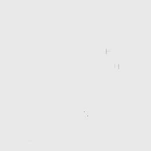 Cc1ccc(-n2c3ccccc3c3cc4c(cc32)-c2ccc(-c3ccccc3)cc2C4(C)C)cc1